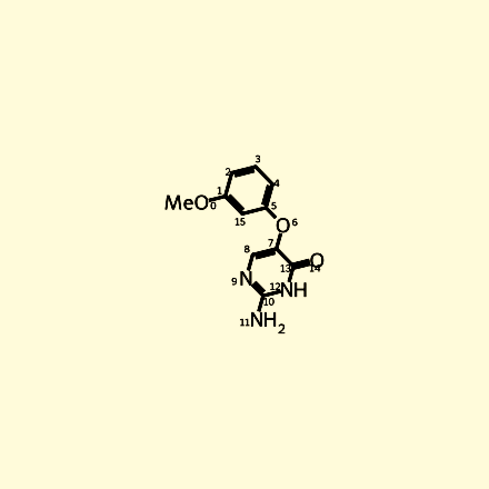 COc1cccc(Oc2cnc(N)[nH]c2=O)c1